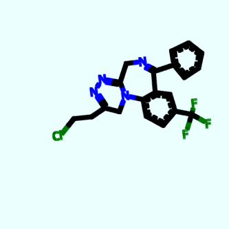 FC(F)(F)c1ccc2c(c1)C(c1ccccc1)=NCC1=NN=C(CCCl)CN12